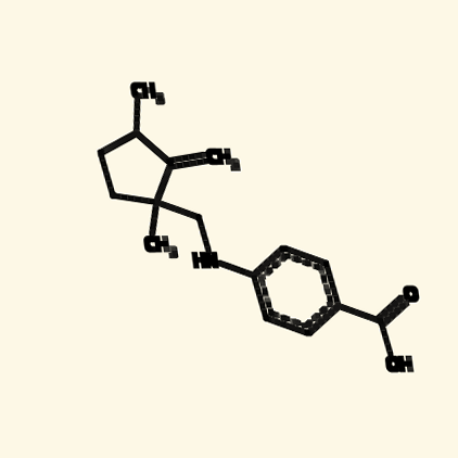 C=C1C(C)CCC1(C)CNc1ccc(C(=O)O)cc1